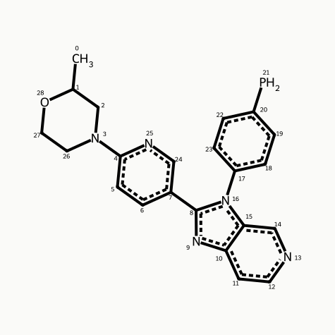 CC1CN(c2ccc(-c3nc4ccncc4n3-c3ccc(P)cc3)cn2)CCO1